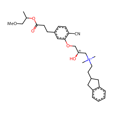 COCC(C)OC(=O)CCc1ccc(C#N)c(OC[C@H](O)C[N+](C)(C)CCC2Cc3ccccc3C2)c1